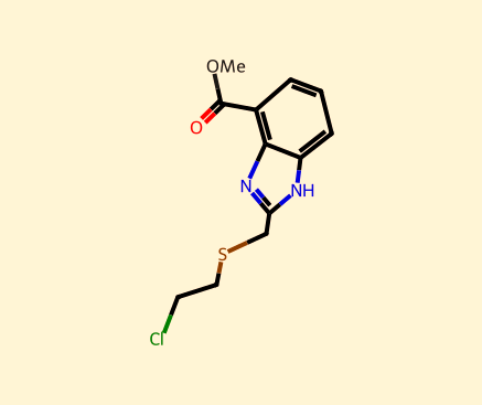 COC(=O)c1cccc2[nH]c(CSCCCl)nc12